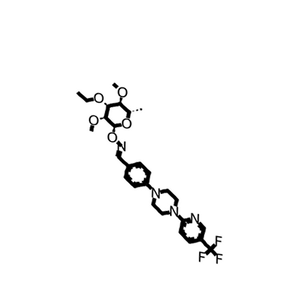 CCO[C@@H]1[C@@H](OC)[C@H](C)O[C@@H](O/N=C/c2ccc(N3CCN(c4ccc(C(F)(F)F)cn4)CC3)cc2)[C@@H]1OC